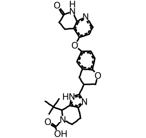 CC(C)(C)C1c2[nH]c(C3COc4ccc(Oc5ccnc6c5CCC(=O)N6)cc4C3)nc2CCN1C(=O)O